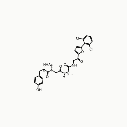 CC(=O)N[C@@H](Cc1ccc(O)cc1)C(=O)NCC(=O)N[C@@H](C)C(=O)NCC(=O)c1ncc(-c2c(Cl)cccc2Cl)o1